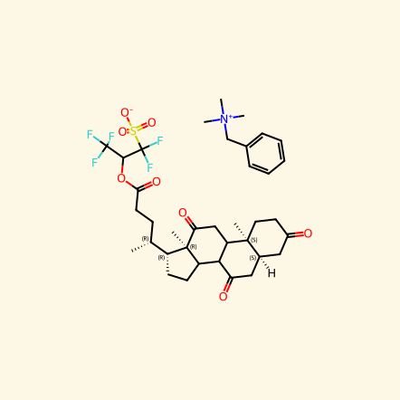 C[C@H](CCC(=O)OC(C(F)(F)F)C(F)(F)S(=O)(=O)[O-])[C@H]1CCC2C3C(=O)C[C@@H]4CC(=O)CC[C@]4(C)C3CC(=O)[C@@]21C.C[N+](C)(C)Cc1ccccc1